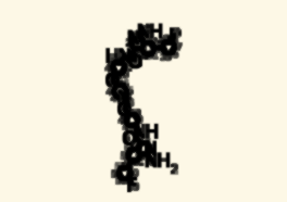 Nc1ncc(C(=O)Nc2ccc(OCN3CCC(Oc4ccc(NC(=O)c5cnc(N)c6cc(-c7cccc(F)c7)ccc56)cc4)CC3)cc2)c2ccc(-c3cccc(F)c3)cc12